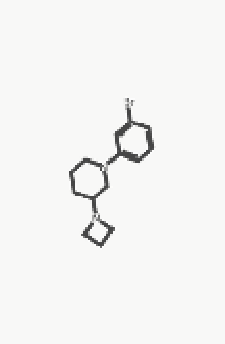 Brc1cccc(N2CCCC(N3CCC3)C2)c1